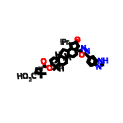 CC(C)C1=C2C3CC[C@@H]4[C@@]5(C)CC[C@H](OC(=O)[C@H]6C[C@@H](C(=O)O)C6(C)C)C(C)(C)[C@@H]5CC[C@@]4(C)[C@]3(C)CC[C@@]2(c2nnc(-c3ccc4nc[nH]c4c3)o2)CC1=O